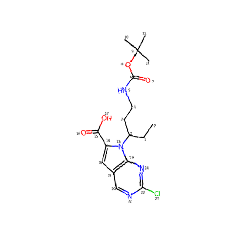 CCC(CCNC(=O)OC(C)(C)C)n1c(C(=O)O)cc2cnc(Cl)nc21